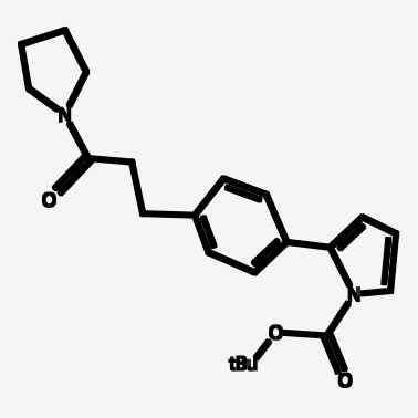 CC(C)(C)OC(=O)n1cccc1-c1ccc(CCC(=O)N2CCCC2)cc1